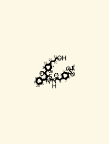 CCS(=O)(=O)c1ccc(CC(=O)Nc2nc(-c3ccccc3)c(C(=O)c3ccc(CCCO)cc3)s2)cc1